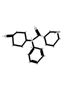 O=C1CCC(N(C(=O)[C@H]2CCCNC2)c2ccccc2)CC1